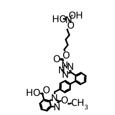 CCOc1nc2cccc(C(=O)O)c2n1Cc1ccc(-c2ccccc2-c2nnn(C(=O)OCCCCCON(O)O)n2)cc1